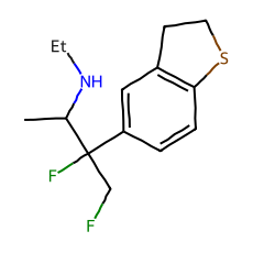 CCNC(C)C(F)(CF)c1ccc2c(c1)CCS2